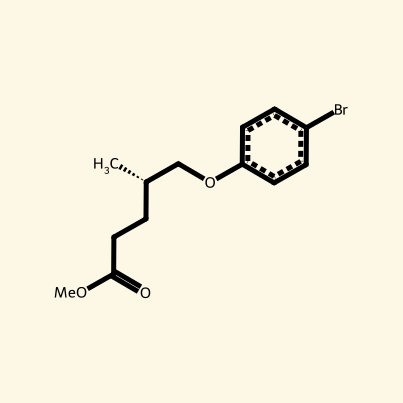 COC(=O)CC[C@H](C)COc1ccc(Br)cc1